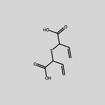 C=CC(SC(C=C)C(=O)O)C(=O)O